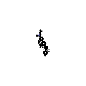 C#C/C(=C\C=C(C)C)c1ccc(-c2ccc(-c3ccc(-c4ccc(C)cc4F)s3)c3nsnc23)c(F)c1